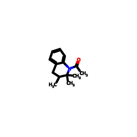 CC(=O)N1c2ccccc2CC(C)C1(C)C